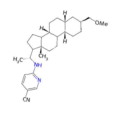 COC[C@H]1CC[C@@H]2C3CC[C@@]4(C)C(CCC4[C@@H](C)Nc4ccc(C#N)cn4)[C@@H]3CC[C@@H]2C1